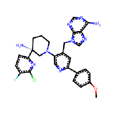 COc1ccc(-c2cc(Cn3cnc4c(N)ncnc43)c(N3CCC[C@](N)(c4ccc(F)c(Cl)n4)C3)cn2)cc1